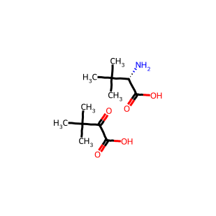 CC(C)(C)C(=O)C(=O)O.CC(C)(C)[C@H](N)C(=O)O